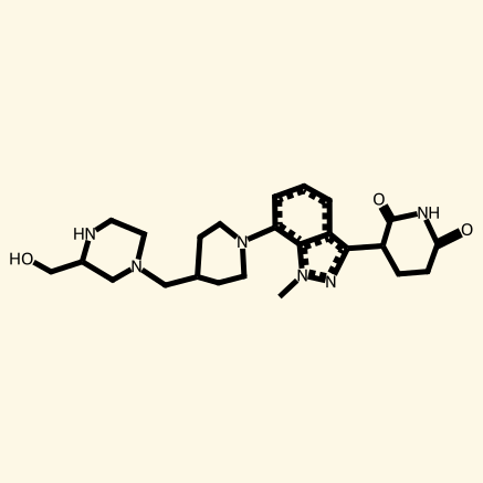 Cn1nc(C2CCC(=O)NC2=O)c2cccc(N3CCC(CN4CCNC(CO)C4)CC3)c21